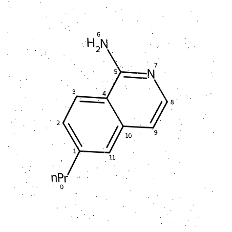 CCCc1ccc2c(N)nccc2c1